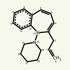 C=CCC1=CC=Cc2ccccc2N1N1CCCCC1